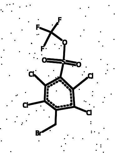 O=S(=O)(OC(F)(F)F)c1c(Cl)c(Cl)c(CBr)c(Cl)c1Cl